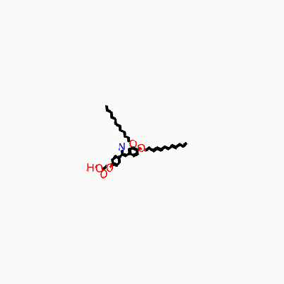 CCCCCCCCCCCCOc1ccc(C=C(C#N)c2ccc(OCC(=O)O)cc2)cc1OCCCCCCCCCCCC